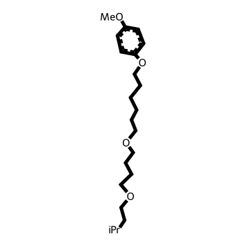 COc1ccc(OCCCCCCOCCCCOCCC(C)C)cc1